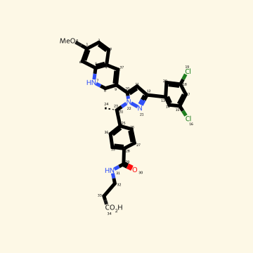 COc1ccc2c(c1)NCC(c1cc(-c3cc(Cl)cc(Cl)c3)nn1[C@@H](C)c1ccc(C(=O)NCCC(=O)O)cc1)=C2